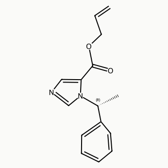 C=CCOC(=O)c1cncn1[C@H](C)c1ccccc1